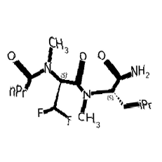 CCCC(=O)N(C)[C@@H](C(=O)N(C)[C@@H](CC(C)C)C(N)=O)C(F)F